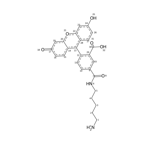 NCCCCCNC(=O)c1ccc(-c2c3ccc(=O)cc-3oc3cc(O)ccc23)c(C(=O)O)c1